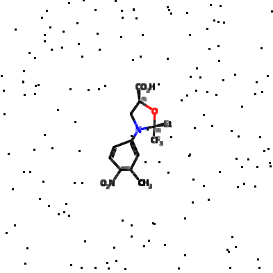 CC[C@]1(C(F)(F)F)O[C@H](C(=O)O)CN1c1ccc([N+](=O)[O-])c(C)c1